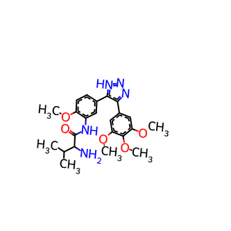 COc1ccc(-c2[nH]nnc2-c2cc(OC)c(OC)c(OC)c2)cc1NC(=O)C(N)C(C)C